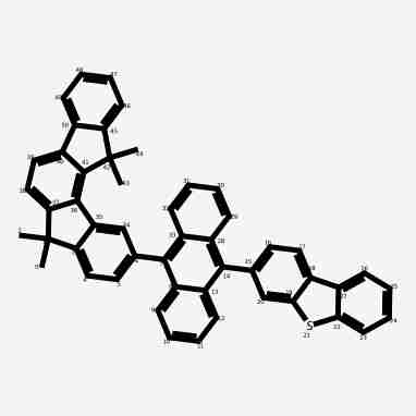 CC1(C)c2ccc(-c3c4ccccc4c(-c4ccc5c(c4)sc4ccccc45)c4ccccc34)cc2-c2c1ccc1c2C(C)(C)c2ccccc2-1